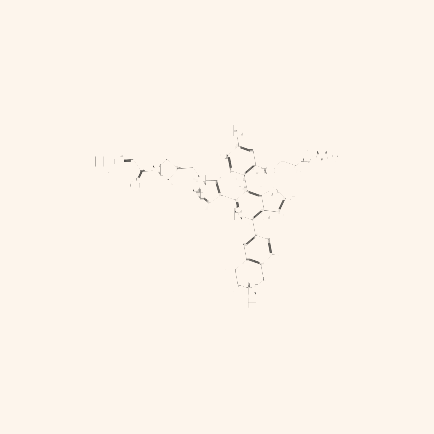 C=CC(=O)N1CC(Cn2cc(-c3nc(-c4ccc5c(c4)CCNC5)c4ccsc4c3-c3ccc(F)cc3OCCOC)cn2)C1